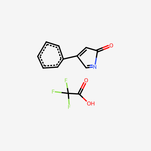 O=C(O)C(F)(F)F.O=C1C=C(c2ccccc2)C=N1